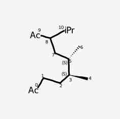 CC(=O)CC[C@H](C)[C@@H](C)CC(C(C)=O)C(C)C